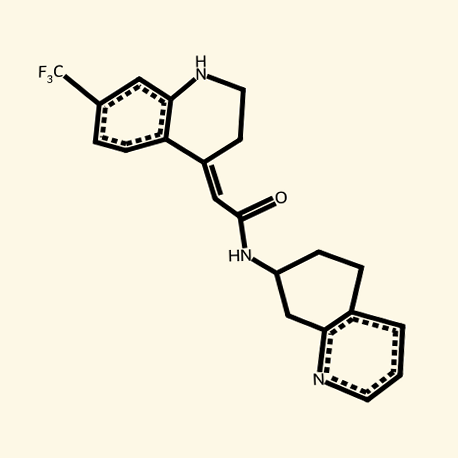 O=C(C=C1CCNc2cc(C(F)(F)F)ccc21)NC1CCc2cccnc2C1